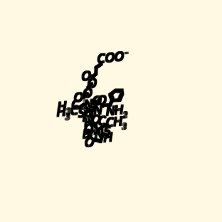 CC1(C)S[C@H]2N(C(=O)[C@@]2(COC(=O)[C@H]2C(C)(C)S[C@@H]3CC(=O)[N+]32Br)NC(=O)C(N)c2ccccc2)[C@H]1C(=O)OCOC(=O)CCCC(=O)[O-]